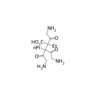 CCCC(C(=O)CN)(C(=O)CN)C(CC)(C(=O)O)C(=O)CN